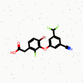 N#Cc1cc(Oc2c(Br)ccc(CC(=O)O)c2F)cc(C(F)F)c1